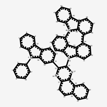 c1ccc(-n2c3ccccc3c3ccc(-c4nc5ccc6ccccc6c5nc4-n4c5cccc6c7cccc8c9ccccc9n(c9cccc4c9c65)c78)cc32)cc1